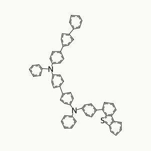 c1ccc(-c2ccc(-c3ccc(N(c4ccccc4)c4ccc(-c5ccc(N(c6ccccc6)c6ccc(-c7cccc8c7sc7ccccc78)cc6)cc5)cc4)cc3)cc2)cc1